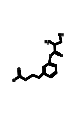 NC(CO)C(=O)Oc1cccc(CCO[N+](=O)[O-])c1